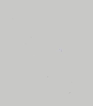 c1ccc2c(c1)-c1ccc(N(c3ccc4ccccc4c3)c3cccc4c3-c3ccccc3C43C4CCC5CC(C4)CC3C5)cc1C21C2CCC3CC(C2)CC1C3